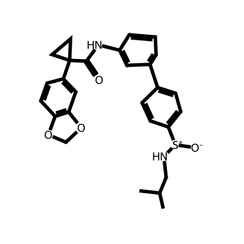 CC(C)CN[S+]([O-])c1ccc(-c2cccc(NC(=O)C3(c4ccc5c(c4)OCO5)CC3)c2)cc1